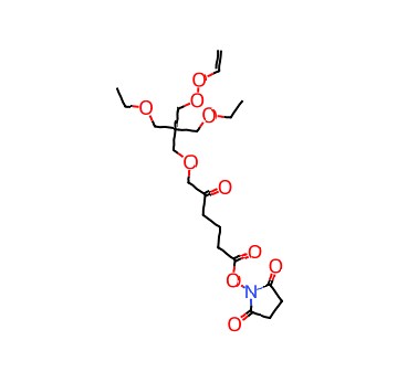 C=COOCC(COCC)(COCC)COCC(=O)CCCC(=O)ON1C(=O)CCC1=O